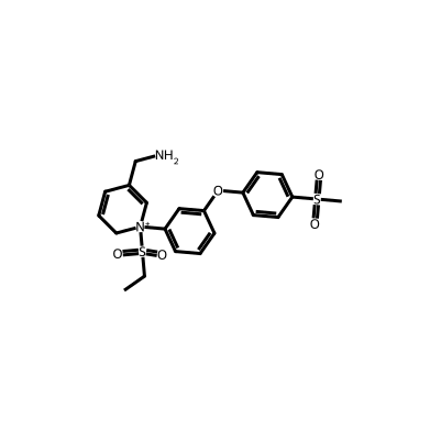 CCS(=O)(=O)[N+]1(c2cccc(Oc3ccc(S(C)(=O)=O)cc3)c2)C=C(CN)C=CC1